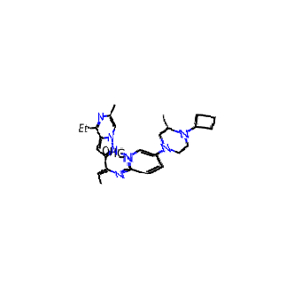 C/C=C(\N=c1\ccc(N2CCN(C3CCC3)[C@H](C)C2)cn1C=O)c1cc2c(CC)nc(C)cn2n1